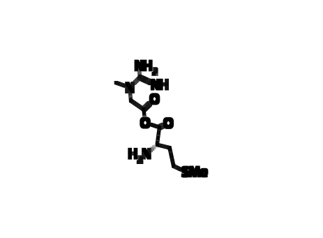 CSCC[C@H](N)C(=O)OC(=O)CN(C)C(=N)N